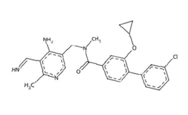 Cc1ncc(CN(C)C(=O)c2ccc(-c3cccc(Cl)c3)c(OC3CC3)c2)c(N)c1C=N